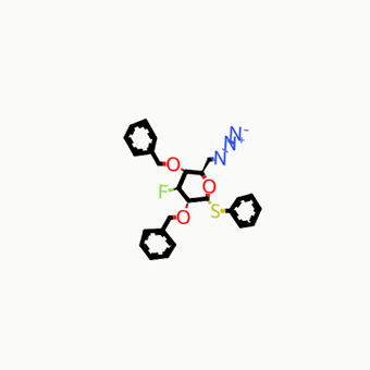 [N-]=[N+]=NC[C@H]1O[C@@H](Sc2ccccc2)[C@H](OCc2ccccc2)[C@@H](F)[C@@H]1OCc1ccccc1